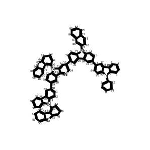 c1ccc(-n2c3ccccc3c3cc(-c4ccc5c(c4)c4cc(-c6cnc7c8cc(-c9ccc%10c(c9)c9ccccc9n%10-c9cccc%10sc%11ccccc%11c9%10)ccc8n(-c8cccc9sc%10ccccc%10c89)c7c6)ccc4n5-c4ccc5ccccc5c4)ccc32)cc1